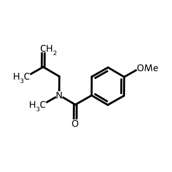 C=C(C)CN(C)C(=O)c1ccc(OC)cc1